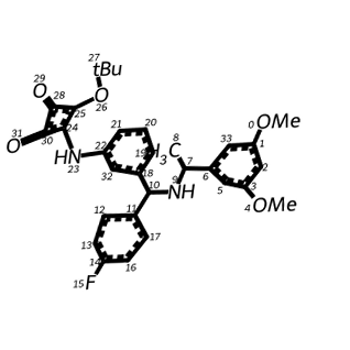 COc1cc(OC)cc(C(C)NC(c2ccc(F)cc2)c2cccc(Nc3c(OC(C)(C)C)c(=O)c3=O)c2)c1